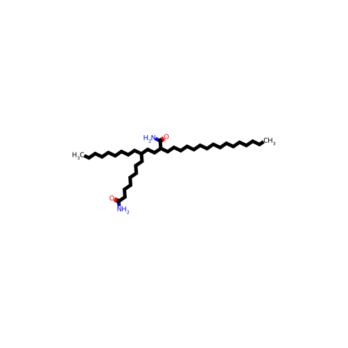 CCCCCCCCCCCCCCCCC(CCC(CCCCCCCCC)CCCCCCCC(N)=O)C(N)=O